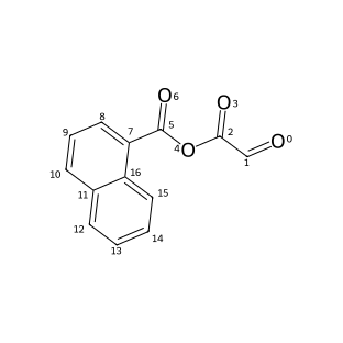 O=CC(=O)OC(=O)c1cccc2ccccc12